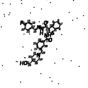 O=C(Nc1sc2ccccc2c1C(=O)NN=Cc1ccc(F)cc1)c1cccc(CN2CCC(CO)CC2)c1